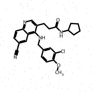 COc1ccc(CNc2c(CCC(=O)NC3CCCC3)cnc3ccc(C#N)cc23)cc1Cl